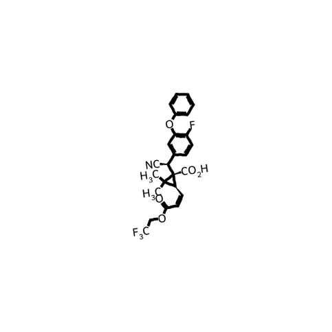 CC1(C)[C@H](/C=C\C(=O)OCC(F)(F)F)[C@@]1(C(=O)O)[C@@H](C#N)c1ccc(F)c(Oc2ccccc2)c1